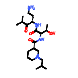 CC(C)CN1CCC[C@H](C(=O)N[C@H](C(=O)N[C@@H](CCN)C(=O)C(C)C)C(C)O)C1